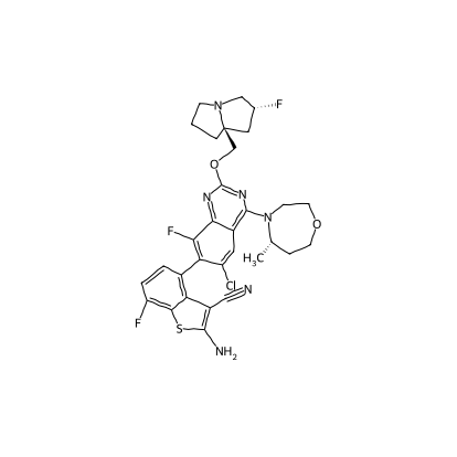 C[C@H]1CCOCCN1c1nc(OC[C@@]23CCCN2C[C@H](F)C3)nc2c(F)c(-c3ccc(F)c4sc(N)c(C#N)c34)c(Cl)cc12